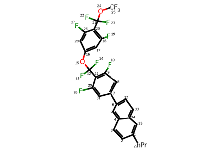 CCCc1ccc2cc(-c3cc(F)c(C(F)(F)Oc4cc(F)c(C(F)(F)OC(F)(F)F)c(F)c4)c(F)c3)ccc2c1